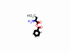 NC(CC(=O)O)C(=O)OC(=O)c1ccccc1